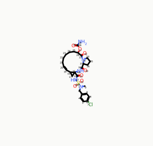 CN(Cc1ccc(Cl)cc1)S(=O)(=O)NC(=O)C12CC1/C=C\CCCCCC(OC(N)=O)C(=O)N1CCCC1C(=O)N2